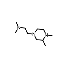 CC1CN(CCN(C)C)CCN1C